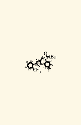 CC(C)(C)C(=O)N(Cc1csc(-c2ccccc2C(F)(F)F)n1)c1ccc(F)cc1